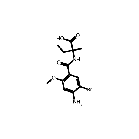 CCC(C)(NC(=O)c1cc(Br)c(N)cc1OC)C(=O)O